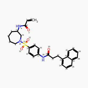 C=CC(=O)NC1CCCCN(S(=O)(=O)c2ccc(NC(=O)CCc3cccc4ccccc34)cc2)C1